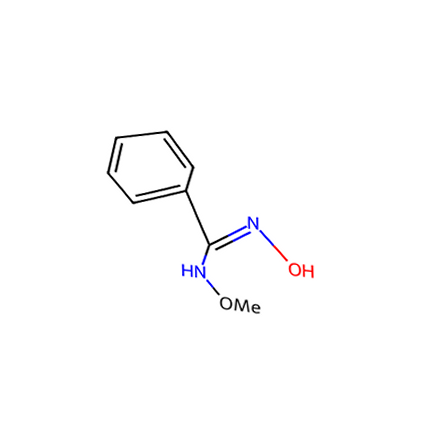 CONC(=NO)c1ccccc1